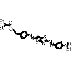 CCC(CC)C(=O)OCCc1ccc(N=Nc2cc3sc(N=Nc4ccc(N(CC)CC)cc4)nc3s2)cc1